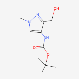 Cn1cc(NC(=O)OC(C)(C)C)c(CO)n1